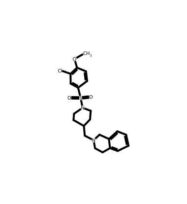 COc1ccc(S(=O)(=O)N2CCC(CN3CCc4ccccc4C3)CC2)cc1Cl